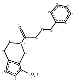 O=C(O)c1noc2c1CN(C(=O)COCc1ccccc1)CC2